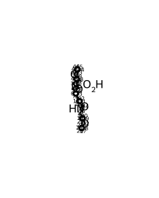 O=C(O)C(=O)N(Cc1ccc(-c2ccc(C(=O)NCCc3ccc(Oc4ccccc4)cc3)cc2)cc1)Cc1cccc(Oc2ccccc2)c1